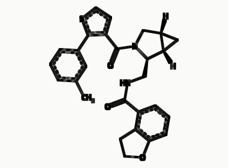 Cc1cccc(-c2sccc2C(=O)N2C[C@@H]3C[C@@H]3[C@H]2CNC(=O)c2cccc3c2CCO3)c1